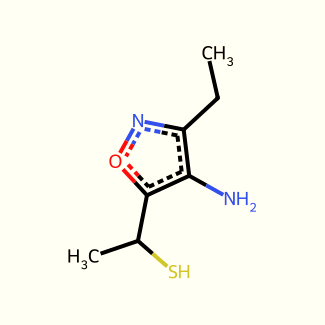 CCc1noc(C(C)S)c1N